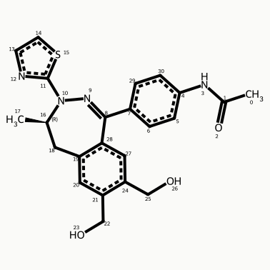 CC(=O)Nc1ccc(C2=NN(c3nccs3)[C@H](C)Cc3cc(CO)c(CO)cc32)cc1